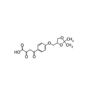 CC1(C)OCC(COc2ccc(C(=O)CC(=O)C(=O)O)cc2)O1